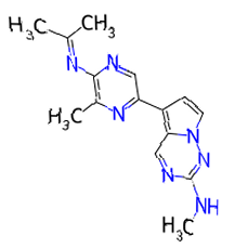 CNc1ncc2c(-c3cnc(N=C(C)C)c(C)n3)ccn2n1